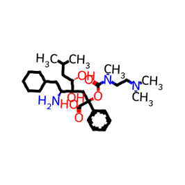 CC(C)C[C@H](O)[C@@](O)(CC(OC(=O)N(C)CCN(C)C)(C(=O)O)c1ccccc1)[C@@H](N)CC1CCCCC1